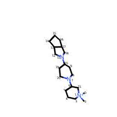 C[N+]1(C)CCCC(N2CCC(N3CC4CCCC4C3)CC2)C1